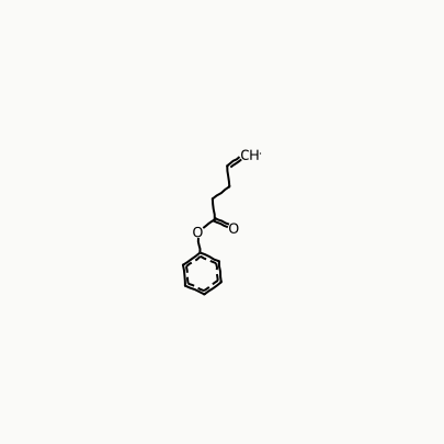 [CH]=CCCC(=O)Oc1ccccc1